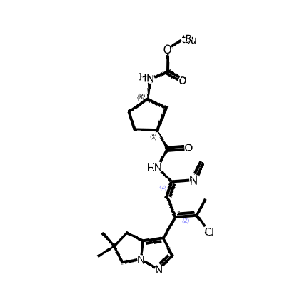 C=N/C(=C\C(=C(/C)Cl)c1cnn2c1CC(C)(C)C2)NC(=O)[C@H]1CC[C@@H](NC(=O)OC(C)(C)C)C1